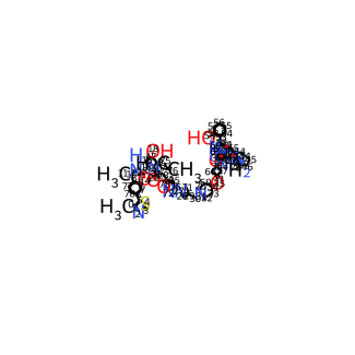 Cc1ncsc1-c1ccc([C@H](C)NC(=O)[C@@H]2C[C@@H](O)CN2C(=O)[C@@H](c2cc(N3CC(CN4CCC(OC5CC(Oc6cc(N7C8CC[C@@H]7CN(c7cc(-c9ccccc9O)nnc7N)C8)ccn6)C5)CC4)C3)no2)C(C)C)cc1